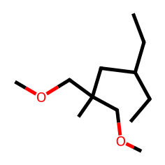 CCC(CC)CC(C)(COC)COC